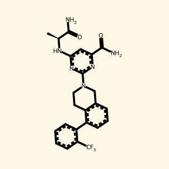 C[C@H](Nc1cc(C(N)=O)nc(N2CCc3c(cccc3-c3ccccc3C(F)(F)F)C2)n1)C(N)=O